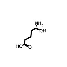 N[C@@H](O)CCCC(=O)O